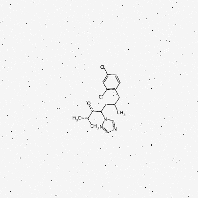 CC(Cc1ccc(Cl)cc1Cl)CC(C(=O)C(C)C)n1cncn1